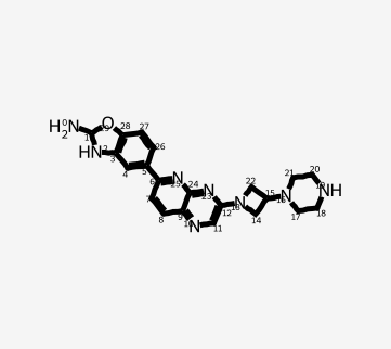 NC1Nc2cc(-c3ccc4ncc(N5CC(N6CCNCC6)C5)nc4n3)ccc2O1